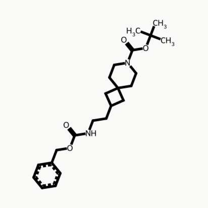 CC(C)(C)OC(=O)N1CCC2(CC1)CC(CCNC(=O)OCc1ccccc1)C2